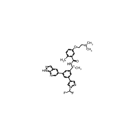 Cc1ccc(OCCN(C)C)cc1C(=O)N[C@H](C)c1cc(-c2cnc3[nH]ncc3c2)cc(-c2cnn(C(F)F)c2)c1